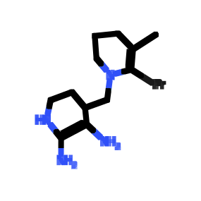 CC1=C(C(C)C)N(CC2CCNC(N)=C2N)CCC1